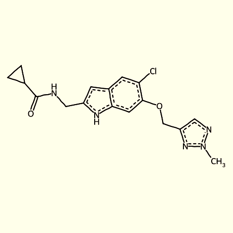 Cn1ncc(COc2cc3[nH]c(CNC(=O)C4CC4)cc3cc2Cl)n1